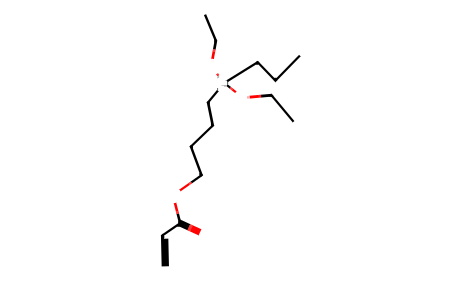 C=CC(=O)OCCCC[Si](CCC)(OCC)OCC